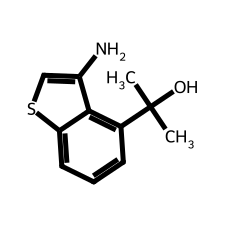 CC(C)(O)c1cccc2scc(N)c12